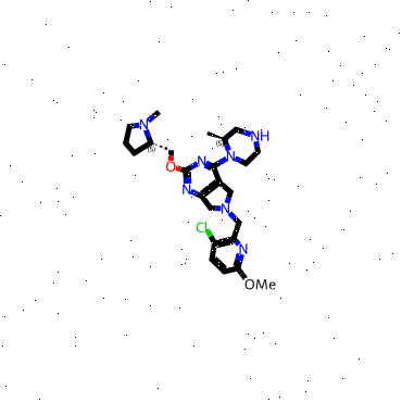 COc1ccc(Cl)c(CN2Cc3nc(OC[C@@H]4CCCN4C)nc(N4CCNC[C@@H]4C)c3C2)n1